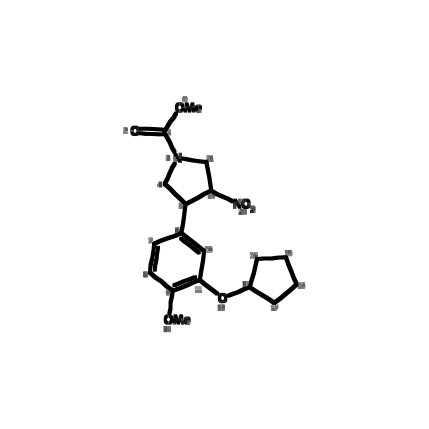 COC(=O)N1CC(c2ccc(OC)c(OC3CCCC3)c2)C([N+](=O)[O-])C1